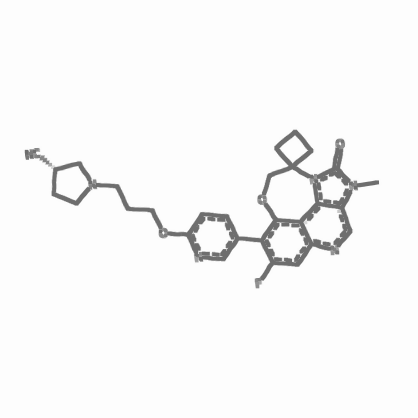 Cn1c(=O)n2c3c4c(c(-c5ccc(OCCCN6CC[C@H](C#N)C6)nc5)c(F)cc4ncc31)OCC21CCC1